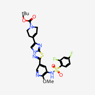 COc1ncc(-c2nn3cc(C4=CCN(C(=O)OC(C)(C)C)CC4)nc3s2)cc1NS(=O)(=O)c1ccc(F)cc1F